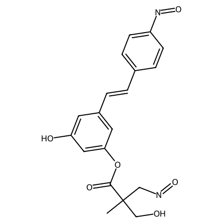 CC(CO)(CN=O)C(=O)Oc1cc(O)cc(/C=C/c2ccc(N=O)cc2)c1